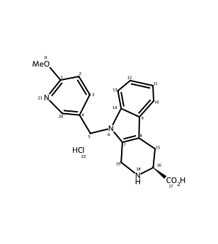 COc1ccc(Cn2c3c(c4ccccc42)C[C@@H](C(=O)O)NC3)cn1.Cl